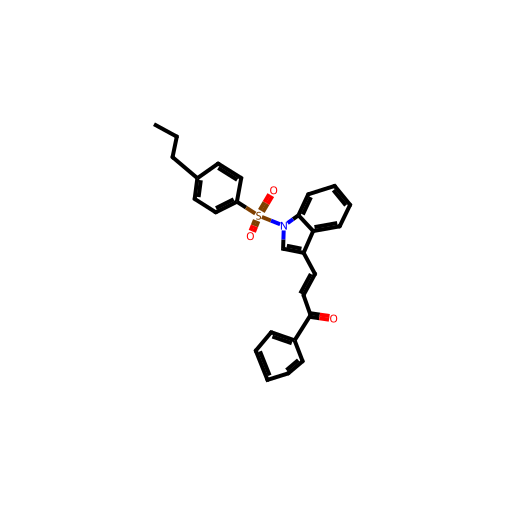 CCCc1ccc(S(=O)(=O)n2cc(/C=C/C(=O)c3ccccc3)c3ccccc32)cc1